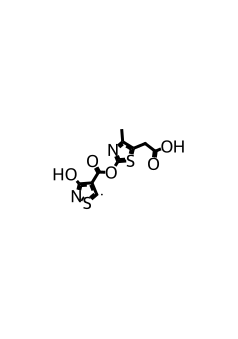 Cc1nc(OC(=O)c2[c]snc2O)sc1CC(=O)O